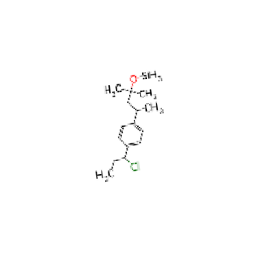 CCC(Cl)c1ccc(C(C)CC(C)(C)O[SiH3])cc1